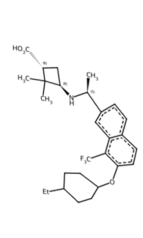 CCC1CCC(Oc2ccc3ccc([C@H](C)N[C@@H]4C[C@@H](C(=O)O)C4(C)C)cc3c2C(F)(F)F)CC1